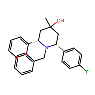 CC1(O)C[C@H](c2ccc(F)cc2)N(Cc2ccccc2)[C@H](c2ccccc2)C1